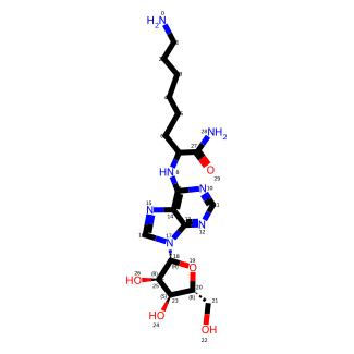 NCCCCCCC(Nc1ncnc2c1ncn2[C@@H]1O[C@H](CO)[C@@H](O)[C@H]1O)C(N)=O